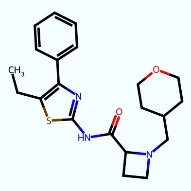 CCc1sc(NC(=O)C2CCN2CC2CCOCC2)nc1-c1ccccc1